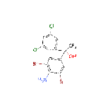 Nc1c(Br)cc(C(O)(c2cc(Cl)cc(Cl)c2)C(F)(F)F)cc1Br